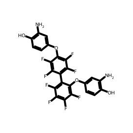 Nc1cc(Oc2c(F)c(F)c(-c3c(F)c(F)c(F)c(F)c3Oc3ccc(O)c(N)c3)c(F)c2F)ccc1O